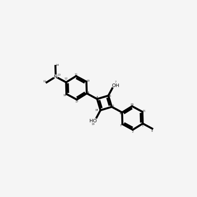 Cc1ccc(C2=C(O)C(c3ccc(N(C)C)cc3)=C2O)cc1